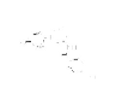 CC(C)(C)C1C=CC(C(=O)NC2CCCN(c3ccc(=O)[nH]n3)C2)=CC1